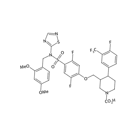 COc1ccc(CN(c2ncns2)S(=O)(=O)c2cc(F)c(OCC3CN(C(=O)O)CCC3c3ccc(F)c(C(F)(F)F)c3)cc2F)c(OC)c1